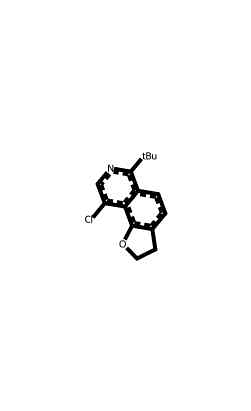 CC(C)(C)c1ncc(Cl)c2c3c(ccc12)CCO3